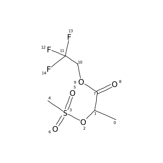 CC(OS(C)(=O)=O)C(=O)OCC(F)(F)F